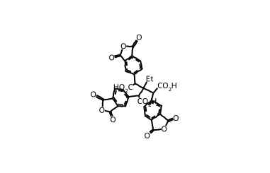 CCC(C(C(=O)O)c1ccc2c(c1)C(=O)OC2=O)(C(C(=O)O)c1ccc2c(c1)C(=O)OC2=O)C(C(=O)O)c1ccc2c(c1)C(=O)OC2=O